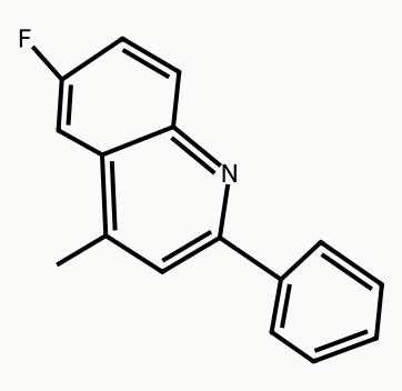 Cc1cc(-c2ccccc2)nc2ccc(F)cc12